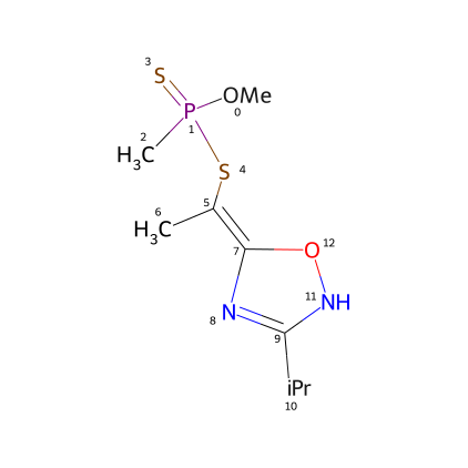 COP(C)(=S)S/C(C)=C1/N=C(C(C)C)NO1